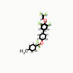 CC1CCC(C(F)(F)OC2CCC(c3cc(F)c(OC=C(F)F)c(F)c3)CC2)CC1